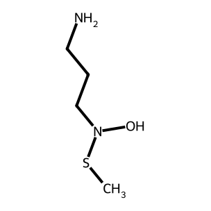 CSN(O)CCCN